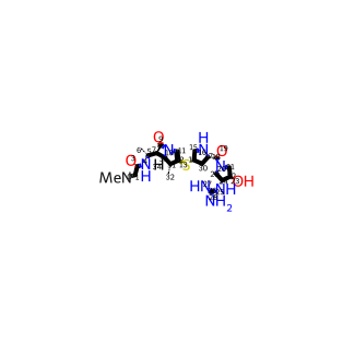 CNCC(=O)N[C@H](C)[C@H]1C(=O)N2C=C(S[C@@H]3CN[C@H](C(=O)N4C[C@@H](O)[C@H](NC(=N)N)C4)C3)[C@H](C)[C@H]12